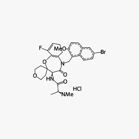 CN[C@@H](C)C(=O)N[C@@H]1C(=O)N(Cc2c(OC)ccc3cc(Br)ccc23)C2=C(OC13CCOCC3)C(F)=CCC2.Cl